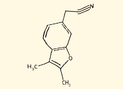 Cc1oc2cc(CC#N)ccc2c1C